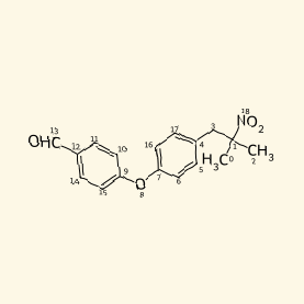 CC(C)(Cc1ccc(Oc2ccc(C=O)cc2)cc1)[N+](=O)[O-]